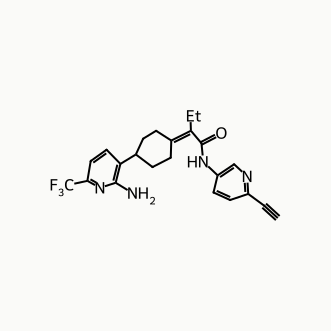 C#Cc1ccc(NC(=O)C(CC)=C2CCC(c3ccc(C(F)(F)F)nc3N)CC2)cn1